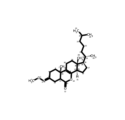 CON=C1CC[C@]2(C)C3=C(OC(=O)C2C1)[C@@H]1CC[C@H]([C@@H](C)CCCC(C)C)[C@@]1(C)CC3